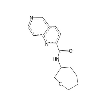 O=C(NC1CCCCCC1)c1ccc2cnccc2n1